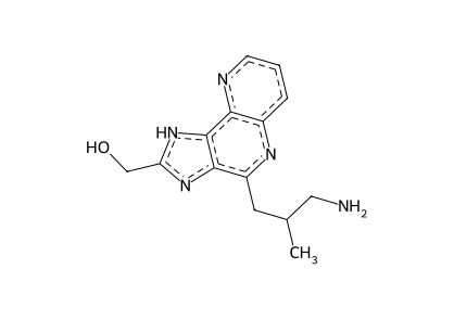 CC(CN)Cc1nc2cccnc2c2[nH]c(CO)nc12